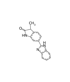 CC1C(=O)Nc2cc(-c3nc4ccccc4[nH]3)ccc21